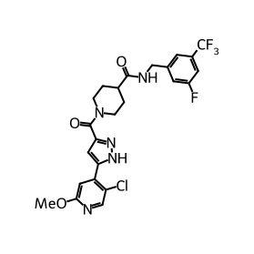 COc1cc(-c2cc(C(=O)N3CCC(C(=O)NCc4cc(F)cc(C(F)(F)F)c4)CC3)n[nH]2)c(Cl)cn1